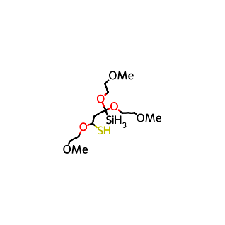 COCCOC(S)CC([SiH3])(OCCOC)OCCOC